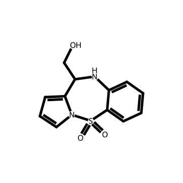 O=S1(=O)c2ccccc2NC(CO)c2cccn21